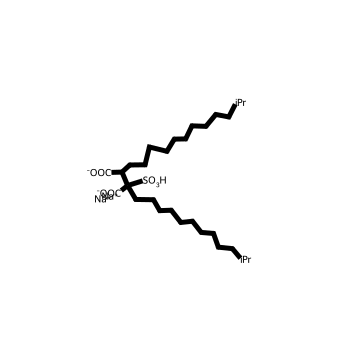 CC(C)CCCCCCCCCCC(C(=O)[O-])C(CCCCCCCCCCC(C)C)(C(=O)[O-])S(=O)(=O)O.[Na+].[Na+]